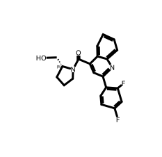 O=C(c1cc(-c2ccc(F)cc2F)nc2ccccc12)N1CCC[C@@H]1CO